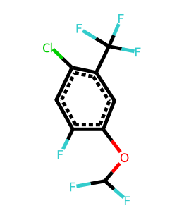 Fc1cc(Cl)c(C(F)(F)F)cc1OC(F)F